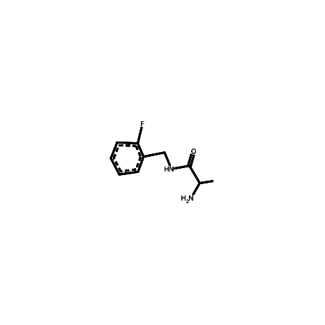 CC(N)C(=O)NCc1ccccc1F